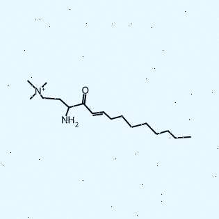 CCCCCCCCC=CC(=O)C(N)CC[N+](C)(C)C